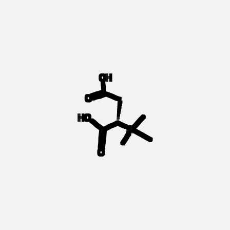 C[Si](C)(C)[C@@H](CC(=O)O)C(=O)O